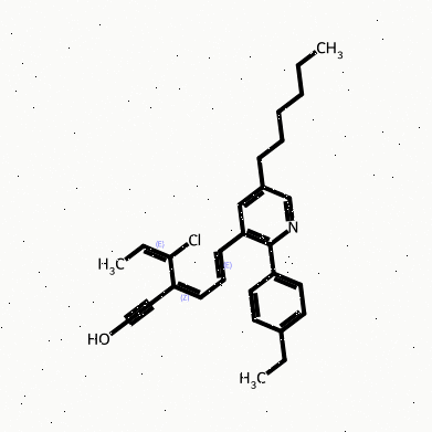 C\C=C(Cl)/C(C#CO)=C\C=C\c1cc(CCCCCC)cnc1-c1ccc(CC)cc1